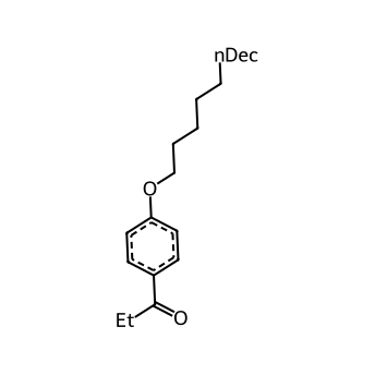 CCCCCCCCCCCCCCCOc1ccc(C(=O)CC)cc1